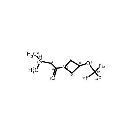 C[SH](C)CC(=O)N1CC(OC(F)(F)F)C1